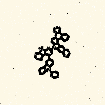 CC1(C)c2ccccc2-c2c(-c3ccc4c(c3)c3ccccc3n4-c3ccccc3)cc(-n3c4cc5ccccc5cc4c4c5c6ccccc6c6ccccc6c5ccc43)nc21